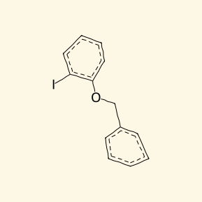 Ic1ccccc1OCc1ccccc1